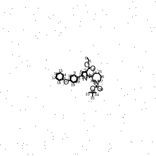 CCOC(=O)c1cc(-c2ccc(Oc3ccccc3)cc2)nn1C1CCCCN(C(=O)OC(C)(C)C)C1